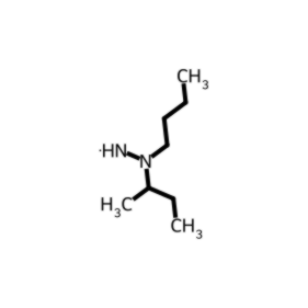 CCCCN([NH])C(C)CC